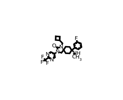 CNC1(c2cccc(F)c2)CCC2(CC1)CN(c1cnc(C(F)(F)F)nc1)C(=O)N2CC1CCC1